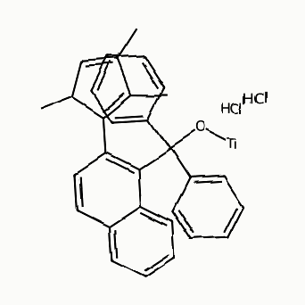 CC1=CC(C)C(c2ccc3ccccc3c2C([O][Ti])(c2ccccc2)c2ccccc2)=C1C.Cl.Cl